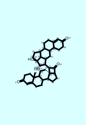 CC12CCC(=O)C=C1CCC1C2C(O)C[C@]23C(CCC12)C(=O)C3C1C(=O)C2(O)CCC3C4CCC5=CC(=O)CCC5C4CC1C32